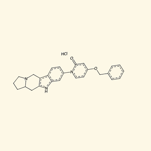 Cl.O=c1cc(OCc2ccccc2)ccn1-c1ccc2c3c([nH]c2c1)CC1CCCN1C3